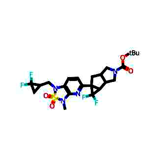 CN1c2nc(C34CC5CN(C(=O)OC(C)(C)C)CC5C3C4(F)F)ccc2N(CC2CC2(F)F)S1(=O)=O